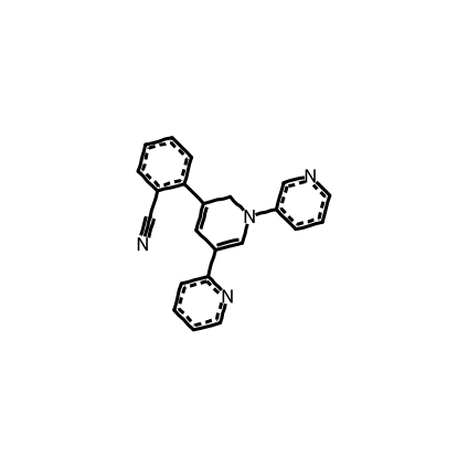 N#Cc1ccccc1C1=CC(c2ccccn2)=CN(c2cccnc2)C1